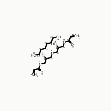 C=CC(=O)OCC(O)COCC(O)COC(=O)C=C.OCCCCCCO